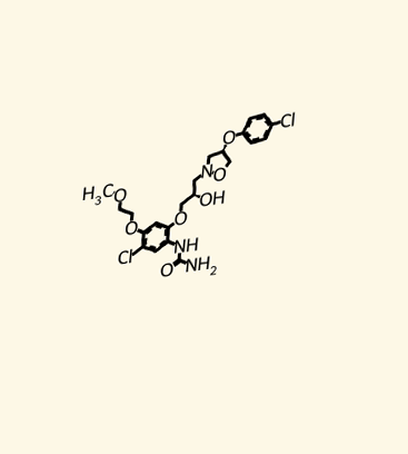 COCCOc1cc(OC[C@H](O)CN2C[C@@H](Oc3ccc(Cl)cc3)CO2)c(NC(N)=O)cc1Cl